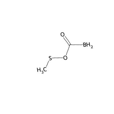 BC(=O)OSC